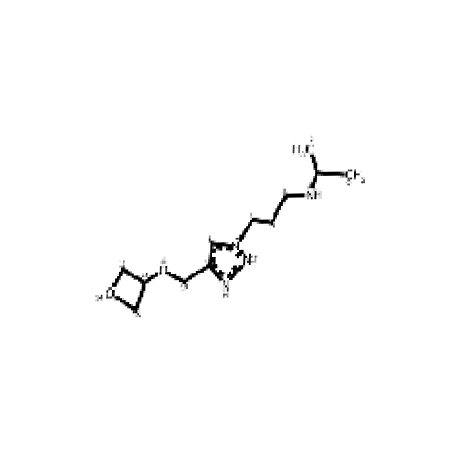 CC(C)NCCCn1cc(COC2COC2)nn1